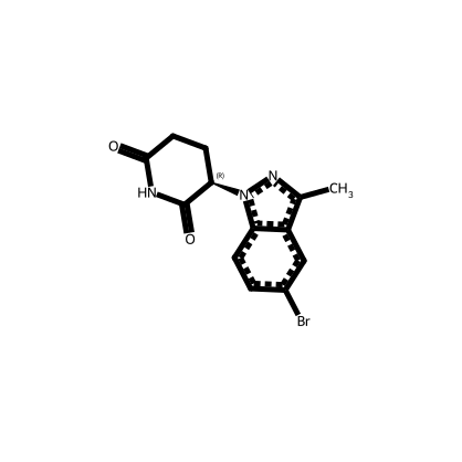 Cc1nn([C@@H]2CCC(=O)NC2=O)c2ccc(Br)cc12